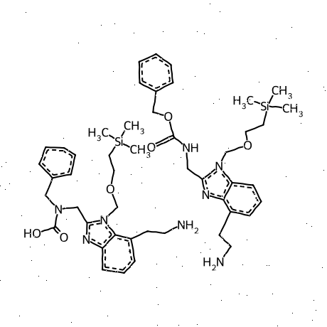 C[Si](C)(C)CCOCn1c(CN(Cc2ccccc2)C(=O)O)nc2cccc(CCN)c21.C[Si](C)(C)CCOCn1c(CNC(=O)OCc2ccccc2)nc2c(CCN)cccc21